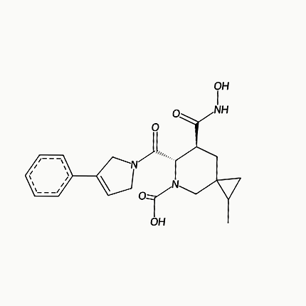 CC1CC12C[C@H](C(=O)NO)[C@@H](C(=O)N1CC=C(c3ccccc3)C1)N(C(=O)O)C2